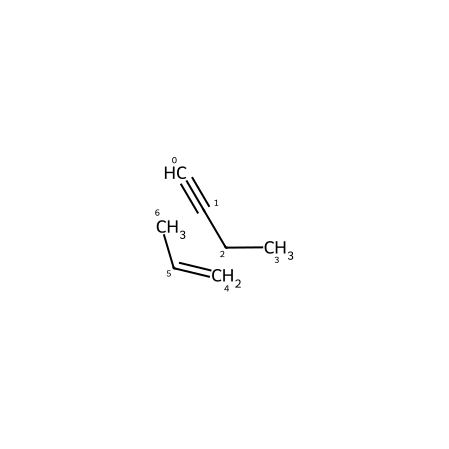 C#CCC.C=CC